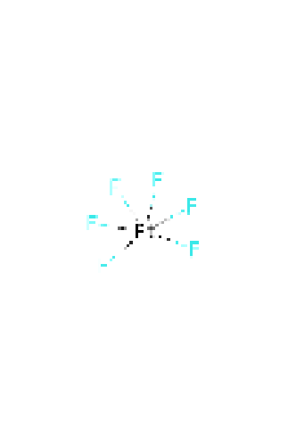 [F][Pt]([F])([F])([F])([F])[F]